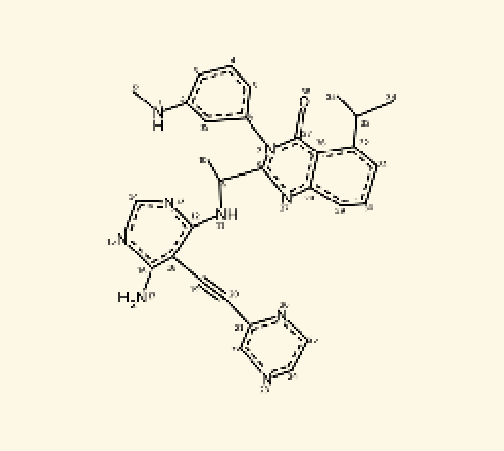 CNc1cccc(-n2c(C(C)Nc3ncnc(N)c3C#Cc3cnccn3)nc3cccc(C(C)C)c3c2=O)c1